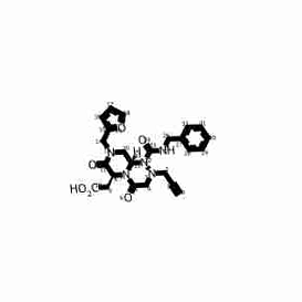 C#CCN1CC(=O)N2[C@@H](CC(=O)O)C(=O)N(Cc3ccco3)C[C@@H]2N1C(=O)NCc1ccccc1